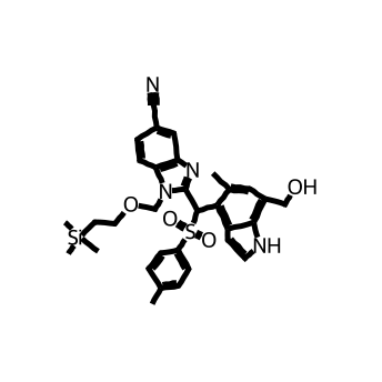 Cc1ccc(S(=O)(=O)C(c2c(C)cc(CO)c3[nH]ccc23)c2nc3cc(C#N)ccc3n2COCC[Si](C)(C)C)cc1